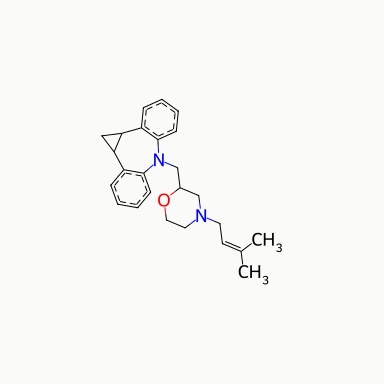 CC(C)=CCN1CCOC(CN2c3ccccc3C3CC3c3ccccc32)C1